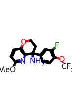 COc1ccc2c(n1)C(N)(c1ccc(OC(F)(F)F)c(F)c1)CCO2